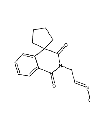 O=C1c2ccccc2C2(CCCC2)C(=O)N1CC=NO